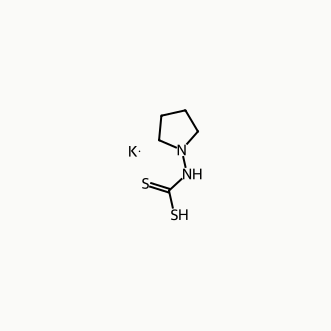 S=C(S)NN1CCCC1.[K]